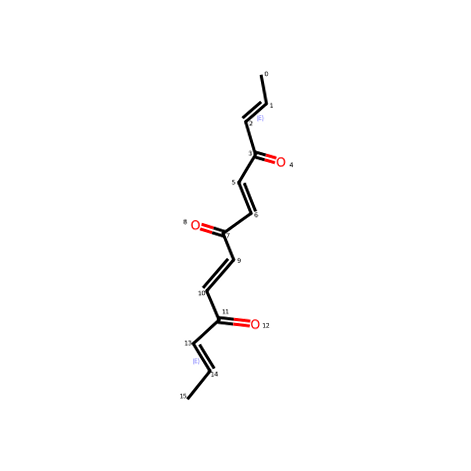 C/C=C/C(=O)C=CC(=O)C=CC(=O)/C=C/C